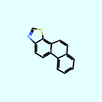 c1ccc2c(c1)ccc1c2ccc2ncsc21